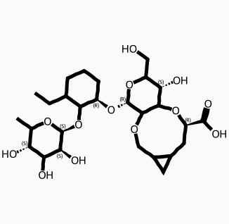 CCC1CCC[C@@H](O[C@@H]2OC(CO)[C@H](O)C3O[C@@H](C(=O)O)CC4CC4COC32)C1O[C@@H]1OC(C)[C@@H](O)C(O)[C@@H]1O